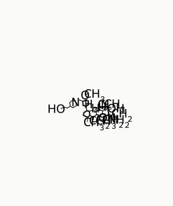 C=C(N)C1=C(O)C(N(C)C)[C@@H]2C[C@@H]3Cc4c(-c5ccc(OC)c(CN6CCC(CCO)CC6)c5)ccc(C)c4C(=C)C3=C(C)[C@]2(O)C1=C